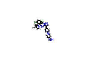 C/C=C(\C=C/C(C)c1cnn2ccc(N3CC[C@H]4C[C@]43c3cc(F)ccc3F)nc12)N1CCC(=N)CC1